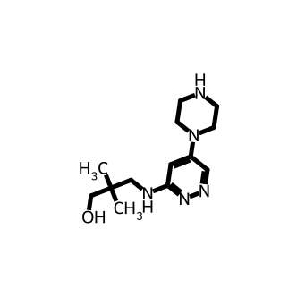 CC(C)(CO)CNc1cc(N2CCNCC2)cnn1